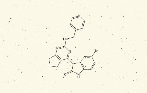 O=C1Nc2ccc(Br)cc2C1c1nc(NCc2ccncc2)nc2c1CCC2